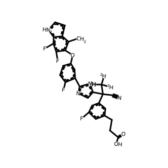 [2H]C([2H])([2H])C(C#N)(c1cc(F)cc(CCC(=O)O)c1)c1cnc(-c2cc(Oc3c(F)c(F)c4[nH]ccc4c3C)ccc2F)[nH]1